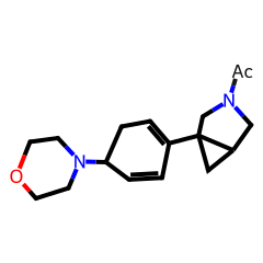 CC(=O)N1CC2CC2(C2=CCC(N3CCOCC3)C=C2)C1